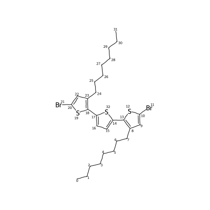 CCCCCCCCc1cc(Br)sc1-c1ccc(-c2sc(Br)cc2CCCCCCCC)s1